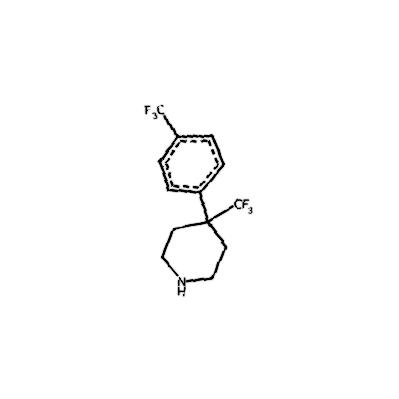 FC(F)(F)c1ccc(C2(C(F)(F)F)CCNCC2)cc1